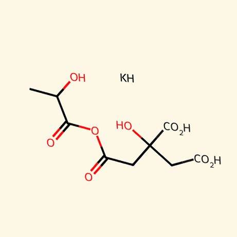 CC(O)C(=O)OC(=O)CC(O)(CC(=O)O)C(=O)O.[KH]